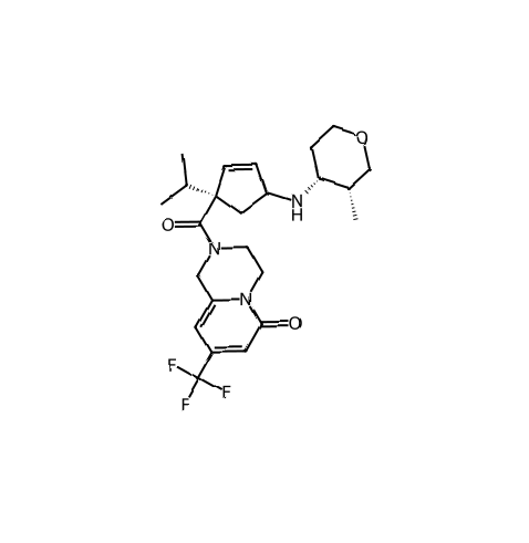 CC(C)[C@]1(C(=O)N2CCn3c(cc(C(F)(F)F)cc3=O)C2)C=CC(N[C@@H]2CCOC[C@@H]2C)C1